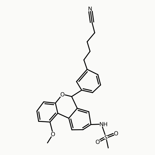 COc1cccc2c1-c1ccc(NS(C)(=O)=O)cc1C(c1cccc(CCCCC#N)c1)O2